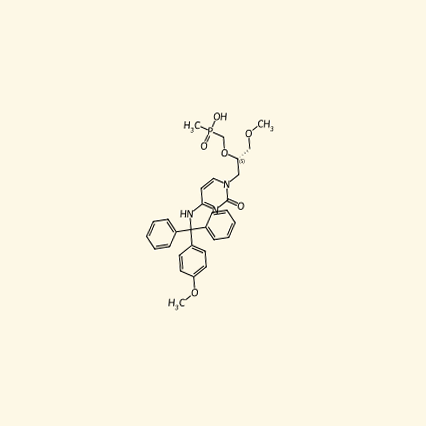 COC[C@H](Cn1ccc(NC(c2ccccc2)(c2ccccc2)c2ccc(OC)cc2)nc1=O)OCP(C)(=O)O